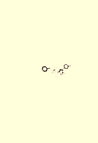 CC(C)(C)n1nc([C@@H]2C[CH][C@@H](F)C2)cc1NC(=O)OCc1ccccc1